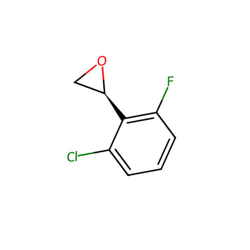 Fc1cccc(Cl)c1[C@H]1CO1